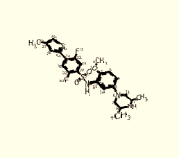 COc1ccc(N2CC(C)NC(C)C2)cc1NS(=O)(=O)c1cc(F)c(-c2cc(C)cs2)cc1F